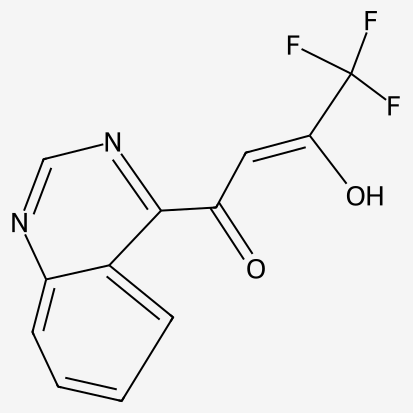 O=C(/C=C(\O)C(F)(F)F)c1ncnc2ccccc12